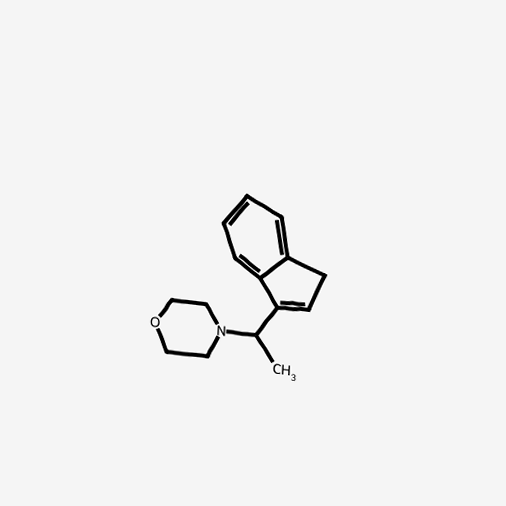 CC(C1=CCc2ccccc21)N1CCOCC1